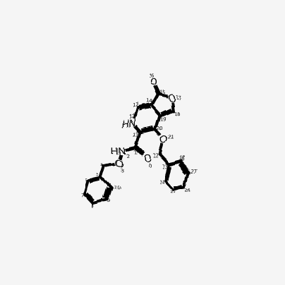 O=C(NOCc1ccccc1)c1[nH]cc2c(=O)occ-2c1OCc1ccccc1